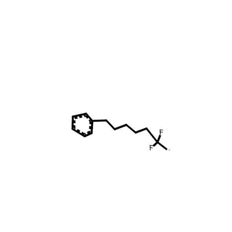 [CH2]C(F)(F)CCCCCc1ccccc1